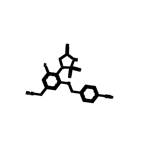 CNCc1cc(F)c(N2CC(=O)NS2(=O)=O)c(OCc2ccc(OC)cc2)c1